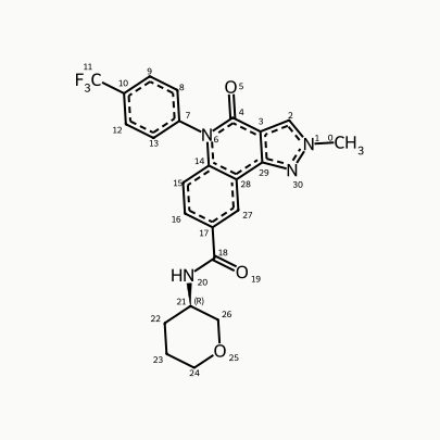 Cn1cc2c(=O)n(-c3ccc(C(F)(F)F)cc3)c3ccc(C(=O)N[C@@H]4CCCOC4)cc3c2n1